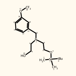 CC(C)(C)[Si](C)(C)OCCN(CCO)Cc1cccc(OC(F)(F)F)c1